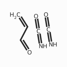 C=CC=O.N=C=O.N=C=O